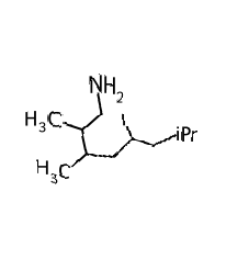 CC(C)CC(I)CC(C)C(C)CN